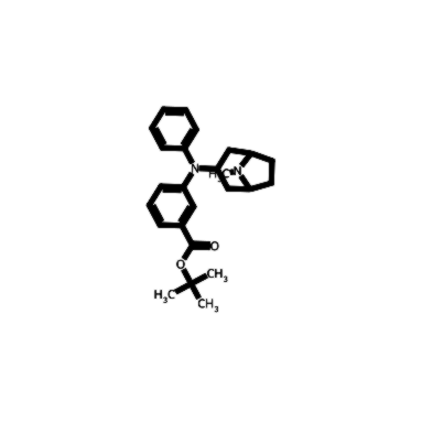 CN1C2CCC1CC(N(c1ccccc1)c1cccc(C(=O)OC(C)(C)C)c1)C2